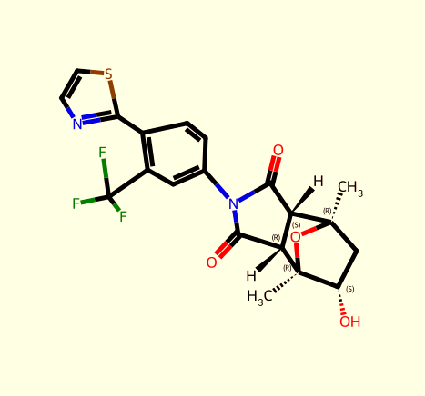 C[C@]12O[C@](C)(C[C@@H]1O)[C@H]1C(=O)N(c3ccc(-c4nccs4)c(C(F)(F)F)c3)C(=O)[C@H]12